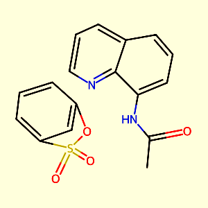 CC(=O)Nc1cccc2cccnc12.O=S1(=O)Oc2cccc1c2